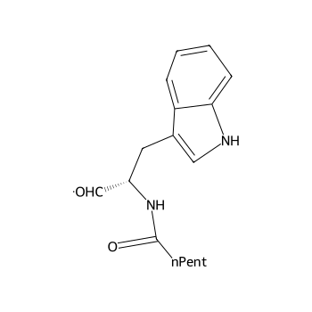 CCCCCC(=O)N[C@H]([C]=O)Cc1c[nH]c2ccccc12